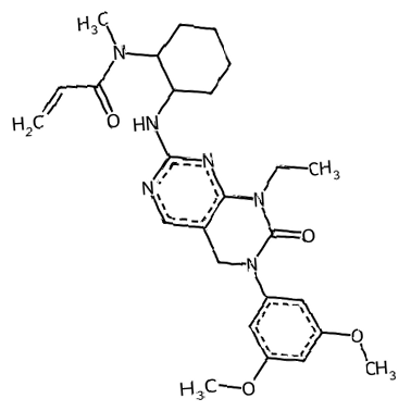 C=CC(=O)N(C)C1CCCCC1Nc1ncc2c(n1)N(CC)C(=O)N(c1cc(OC)cc(OC)c1)C2